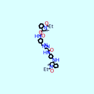 CCC(=O)N1c2ccccc2[C@H](Nc2ccc(NC(=O)c3cn(Cc4ccc(NC(=O)O[C@@H]5C[C@H](C)N(C(=O)CC)c6ccccc65)cc4)nn3)cc2)C[C@@H]1C